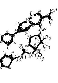 CC1(C)[C@H](Nc2c(C(N)=O)cnn3cc(-c4ccccc4)cc23)CC[C@]1(C)NC(=O)Nc1ccccc1